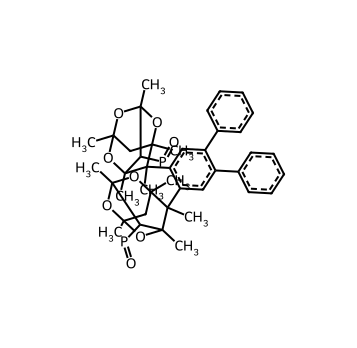 CC12CC3(C)OC(C)(O1)C(P=O)C(C)(O2)C3(C)c1cc(-c2ccccc2)c(-c2ccccc2)cc1C1(C)C2(C)CC3(C)OC(C)(O2)C(P=O)C1(C)O3